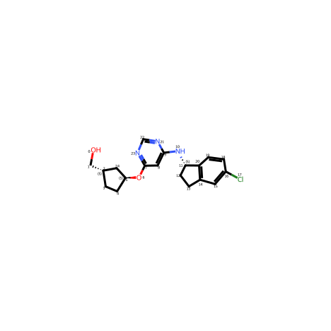 OC[C@H]1CC[C@H](Oc2cc(N[C@H]3CCc4cc(Cl)ccc43)ncn2)C1